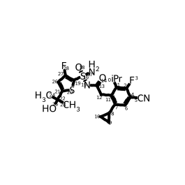 CC(C)c1c(F)c(C#N)cc(C2CC2)c1CC(=O)N=S(N)(=O)c1sc(C(C)(C)O)cc1F